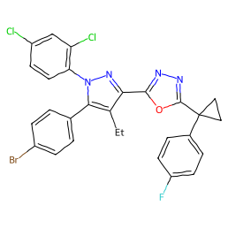 CCc1c(-c2nnc(C3(c4ccc(F)cc4)CC3)o2)nn(-c2ccc(Cl)cc2Cl)c1-c1ccc(Br)cc1